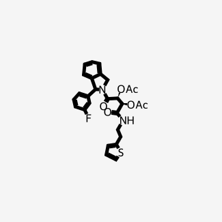 CC(=O)O[C@@H](C(=O)NCCc1cccs1)[C@@H](OC(C)=O)C(=O)N1Cc2ccccc2C1c1cccc(F)c1